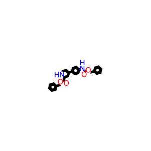 O=C(Nc1ccc(C2=CCNC(C(=O)OCc3ccccc3)C2)cc1)OCc1ccccc1